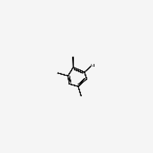 C[CH]c1cc(C)cc(C)c1C